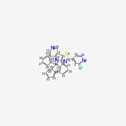 Fc1cc(-c2nc3c(s2)c2cnccc2n3C(c2ccccc2)(c2ccccc2)c2ccccc2)ccn1